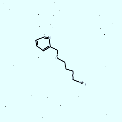 NCCCCOCc1ccccn1